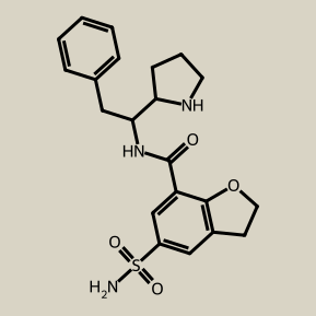 NS(=O)(=O)c1cc2c(c(C(=O)NC(Cc3ccccc3)C3CCCN3)c1)OCC2